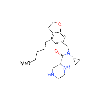 COCCCCc1cc(CN(C(=O)[C@H]2CNCCN2)C2CC2)cc2c1CCO2